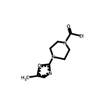 CCC(=O)N1CCN(c2ncc(C)o2)CC1